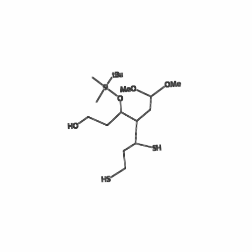 COC(CC(C(S)CCS)C(CCO)O[Si](C)(C)C(C)(C)C)OC